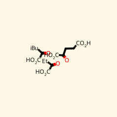 CCC(=O)C(=O)O.CCC(C)C(=O)C(=O)O.O=C(O)CCC(=O)C(=O)O